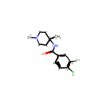 CCN1CCC(C)(NC(=O)c2ccc(F)c(F)c2)CC1